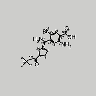 CC(C)(C)OC(=O)C1CCN([C@@H](N)c2cc(N)c(C(=O)O)cc2Br)C1